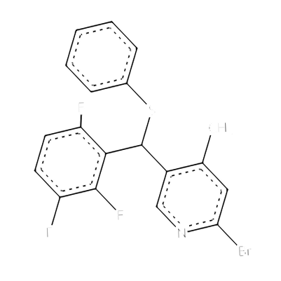 Cc1cc(Br)ncc1C(Sc1ccccc1)c1c(F)ccc(F)c1F